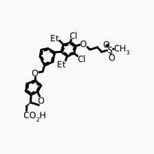 CCc1c(Cl)c(OCCCS(C)(=O)=O)c(Cl)c(CC)c1-c1cccc(COc2ccc3c(c2)OC[C@H]3CC(=O)O)c1